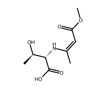 COC(=O)C=C(C)N[C@H](C(=O)O)[C@@H](C)O